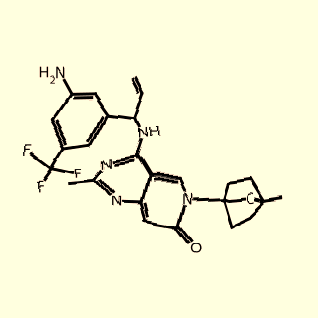 C=CC(Nc1nc(C)nc2cc(=O)n(C34CCC(C)(CC3)CC4)cc12)c1cc(N)cc(C(F)(F)F)c1